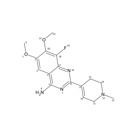 COc1cc2c(N)nc(C3=CCN(C)CC3)nc2c(F)c1OC